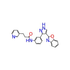 O=C(CCc1cccnc1)Nc1cccc(-c2n[nH]cc2-c2nc3ccccc3o2)c1